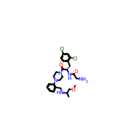 COCC(C)NCc1ccccc1N1CCN(C(=O)[C@@H](Cc2ccc(Cl)cc2Cl)NC(=O)CN)CC1